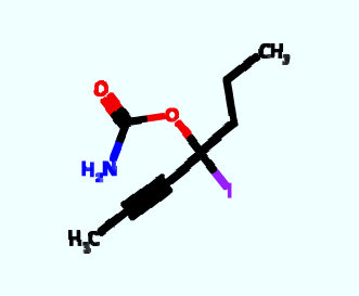 CC#CC(I)(CCC)OC(N)=O